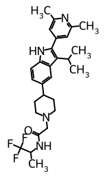 Cc1cc(-c2[nH]c3ccc(C4CCN(CC(=O)NC(C)C(F)(F)F)CC4)cc3c2C(C)C)cc(C)n1